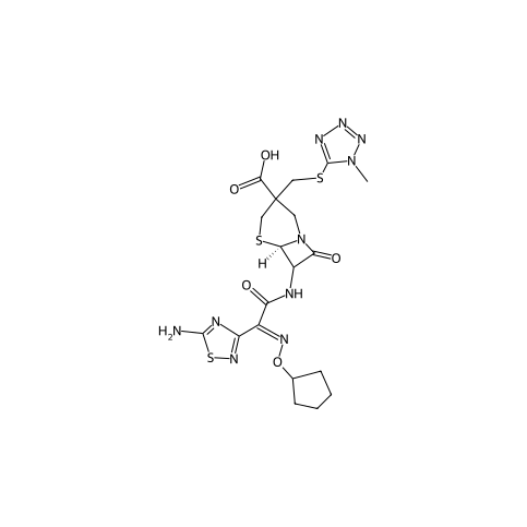 Cn1nnnc1SCC1(C(=O)O)CS[C@@H]2C(NC(=O)C(=NOC3CCCC3)c3nsc(N)n3)C(=O)N2C1